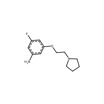 Nc1cc(F)cc(OCCN2CCCC2)c1